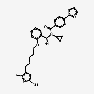 [2H]C(c1ccccc1OCCCCCc1cc(O)nn1C)N(C(=O)c1ccc(-c2ccco2)cc1)C1CC1